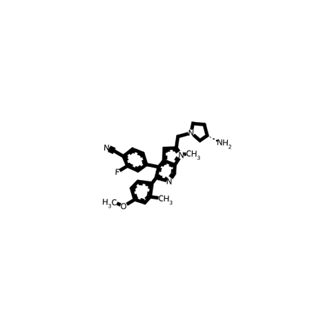 COc1ccc(-c2ncc3c(cc(CN4CC[C@H](N)C4)n3C)c2-c2ccc(C#N)c(F)c2)c(C)c1